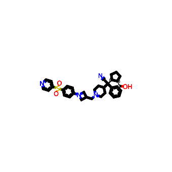 N#CC(c1ccccc1)(C1CCN(CC2CN(c3ccc(S(=O)(=O)c4ccncc4)cc3)C2)CC1)[C@H]1CCC[C@@H]1CO